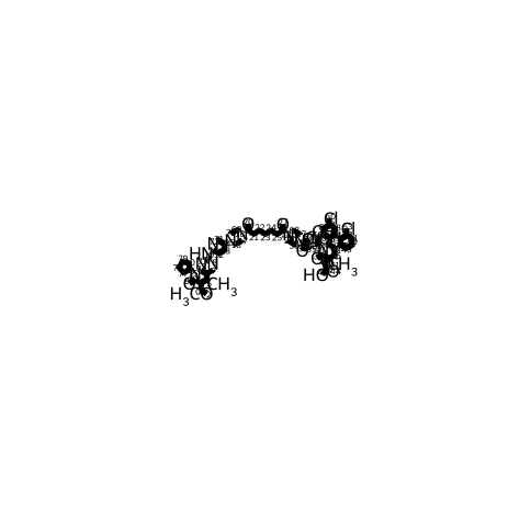 CC(=O)c1c(C)c2cnc(Nc3ccc(N4CCN(C(=O)CCCCCC(=O)N5CCN(S(=O)(=O)C[C@@H](N6C(=O)[C@@](C)(CC(=O)O)C[C@H](c7cccc(Cl)c7)[C@H]6c6ccc(Cl)cc6)C(C)(C)C)CC5)CC4)cn3)nc2n(C2CCCC2)c1=O